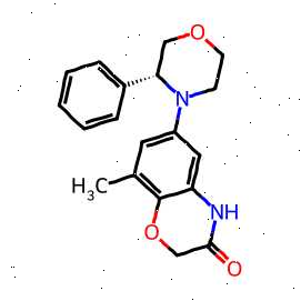 Cc1cc(N2CCOC[C@H]2c2ccccc2)cc2c1OCC(=O)N2